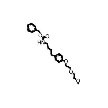 COCCOCCOc1ccc(CCCCNC(=O)OCc2ccccc2)cc1